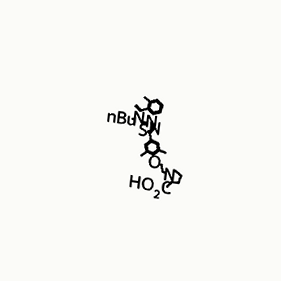 C=C(c1ccccc1C)N(CCCC)c1nnc(-c2cc(C)c(OCCN3CCCC3C(=O)O)c(C)c2)s1